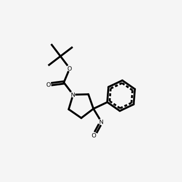 CC(C)(C)OC(=O)N1CCC(N=O)(c2ccccc2)C1